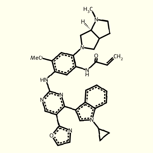 C=CC(=O)Nc1cc(Nc2ncc(-c3ncco3)c(-c3cn(C4CC4)c4ccccc34)n2)c(OC)cc1N1CC2CCN(C)[C@@H]2C1